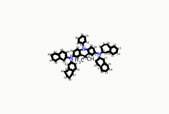 CC1(C)c2cc(N(C3=CCC=c4ccccc4=C3)c3ccc4ccccc4c3)ccc2N(c2ccccc2)c2ccc(N(c3ccc4ccccc4c3)c3ccc4ccccc4c3)cc21